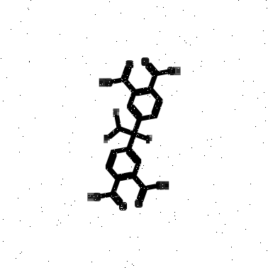 O=C(O)c1ccc(C(F)(c2ccc(C(=O)O)c(C(=O)O)c2)C(F)F)cc1C(=O)O